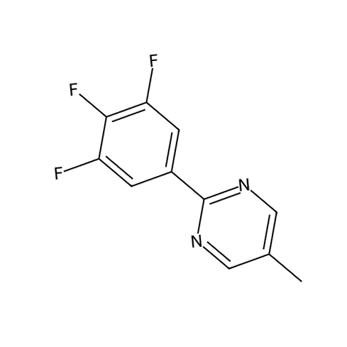 Cc1cnc(-c2cc(F)c(F)c(F)c2)nc1